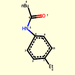 [CH2]Cc1ccc(NC(=O)CCCC)cc1